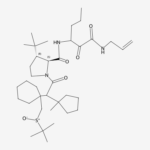 C=CCNC(=O)C(=O)C(CCC)NC(=O)[C@@H]1[C@@H](C(C)(C)C)CCN1C(=O)C(C1(C)CCCC1)C1(C[S+]([O-])C(C)(C)C)CCCCC1